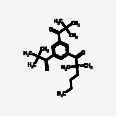 CCCC[N+](C)(C)C(=O)c1cc(C(=O)C(C)(C)C)cc(C(=O)C(C)(C)C)c1